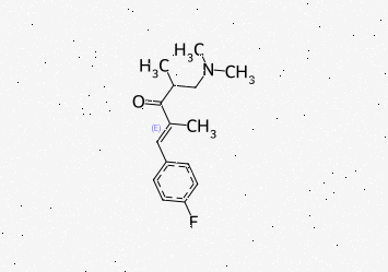 C/C(=C\c1ccc(F)cc1)C(=O)C(C)CN(C)C